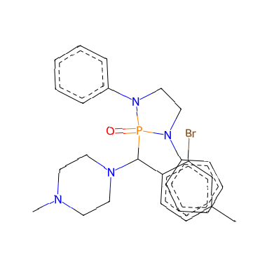 Cc1ccc(C(N2CCN(C)CC2)P2(=O)N(c3ccccc3)CCN2c2ccccc2)c(Br)c1